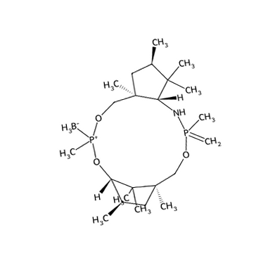 [BH3-][P+]1(C)OC[C@@]2(C)C[C@@H](C)C(C)(C)[C@@H]2NP(=C)(C)OC[C@@]2(C)C[C@@H](C)[C@H](O1)C2(C)C